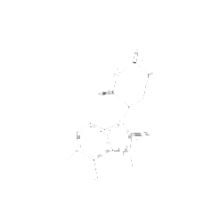 Cc1c(F)ccc2c1n(C)c(=O)n2C1CCC(=O)NC1=O